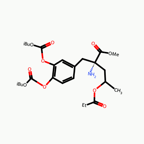 CCC(=O)OC(C)C[C@@](N)(Cc1ccc(OC(=O)OCC(C)C)c(OC(=O)OCC(C)C)c1)C(=O)OC